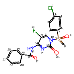 C=S(=O)(c1ccc(Cl)cc1)n1cc(F)c(NC(=O)c2ccccc2)nc1=O